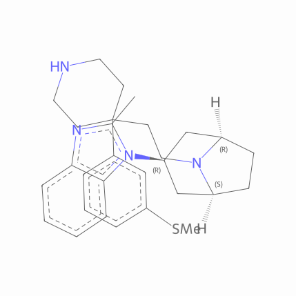 CSc1cccc(C2(CCN3[C@@H]4CC[C@H]3C[C@@H](n3c(C)nc5ccccc53)C4)CCNCC2)c1